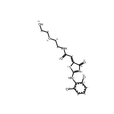 O=C(/C=C1\SC(Nc2c(Cl)cccc2Cl)=NC1=O)NCCOCCO